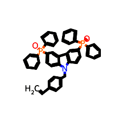 C=Cc1ccc(Cn2c3ccc(P(=O)(c4ccccc4)c4ccccc4)cc3c3cc(P(=O)(c4ccccc4)c4ccccc4)ccc32)cc1